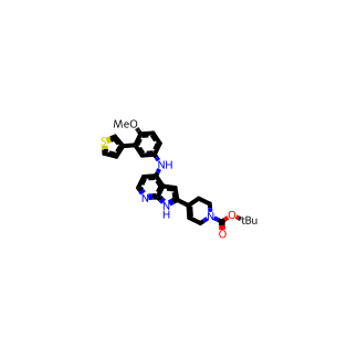 COc1ccc(Nc2ccnc3[nH]c(C4=CCN(C(=O)OC(C)(C)C)CC4)cc23)cc1-c1ccsc1